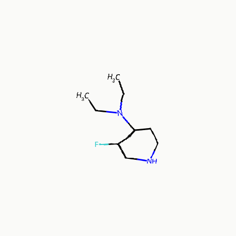 CCN(CC)C1CCNCC1F